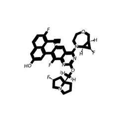 [2H]C([2H])(Oc1nc(N2CCOC[C@H]3[C@H](F)[C@H]32)c2cc(F)c(-c3cc(O)cc4ccc(F)c(C#C)c34)c(F)c2n1)[C@@]12CCCN1C[C@H](F)C2